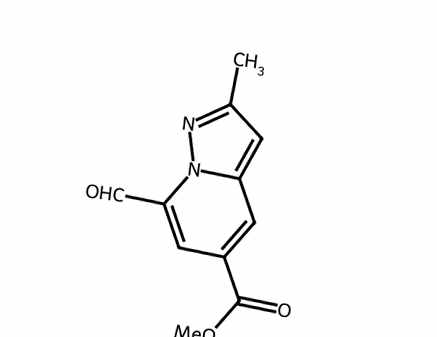 COC(=O)c1cc(C=O)n2nc(C)cc2c1